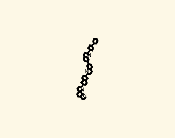 c1ccc(-c2ccc(-c3ccc4ccc(-c5ccc6ccc(-c7ccc8cc(-c9ccc%10ccc%11cccnc%11c%10n9)ccc8c7)nc6c5)cc4n3)cc2)cc1